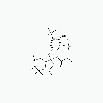 CCCC(Cc1cc(C(C)(C)C)c(O)c(C(C)(C)C)c1)(OC(=O)CC)C1CC(C)(C)N(C)C(C)(C)C1